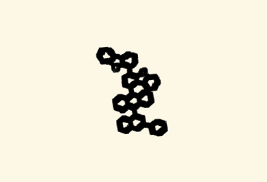 c1ccc(-c2cc(-c3c4ccccc4c(-c4ccc(-c5cccc6c5oc5ccccc56)c5oc6ccccc6c45)c4ccccc34)c3ccccc3c2)cc1